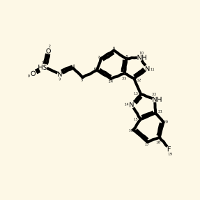 O=[SH](=O)N=CCc1ccc2[nH]nc(-c3nc4ccc(F)cc4[nH]3)c2c1